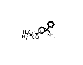 CC(C)(C)OC(=O)N1CCC2C(C1)C2(CN)c1ccccc1